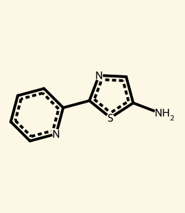 Nc1cnc(-c2ccccn2)s1